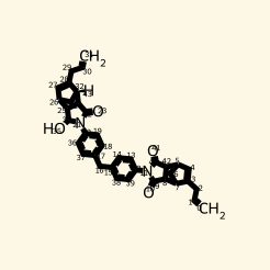 C=CCC1=CC2CC1C1C(=O)N(c3ccc(Cc4ccc(N5C(=O)C6C(C7C=C(CC=C)[C@H]6C7)C5O)cc4)cc3)C(=O)C21